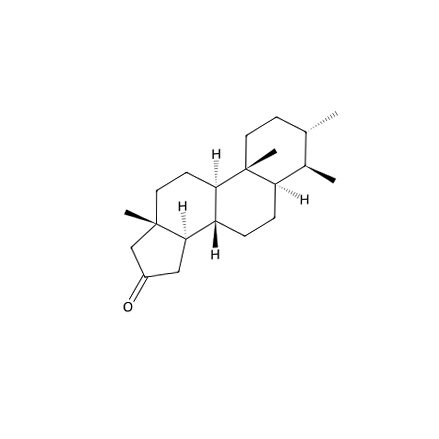 C[C@H]1[C@H]2CC[C@@H]3[C@H]4CC(=O)C[C@]4(C)CC[C@H]3[C@]2(C)CC[C@@H]1C